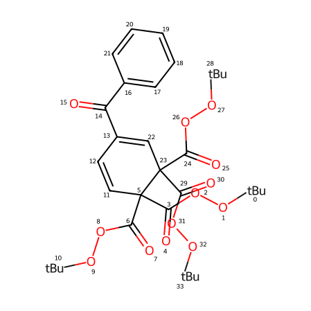 CC(C)(C)OOC(=O)C1(C(=O)OOC(C)(C)C)C=CC(C(=O)c2ccccc2)=CC1(C(=O)OOC(C)(C)C)C(=O)OOC(C)(C)C